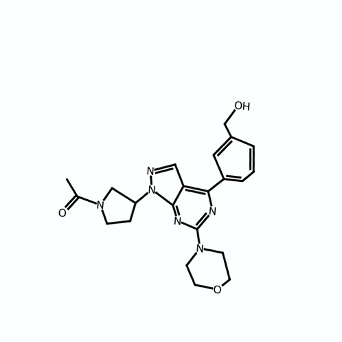 CC(=O)N1CCC(n2ncc3c(-c4cccc(CO)c4)nc(N4CCOCC4)nc32)C1